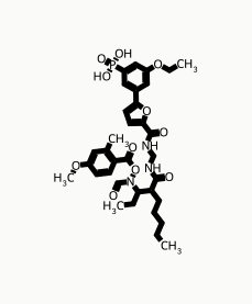 CCCCCC(C(=O)NCNC(=O)c1ccc(-c2cc(OCC)cc(P(=O)(O)O)c2)o1)C(CC)N(C=O)OC(=O)c1ccc(OC)cc1C